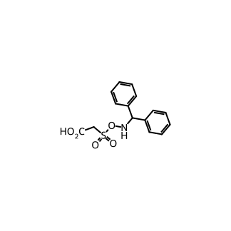 O=C(O)CS(=O)(=O)ONC(c1ccccc1)c1ccccc1